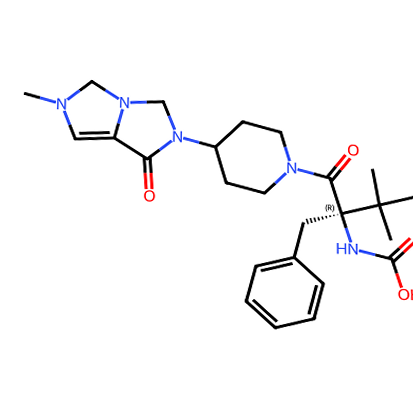 CN1C=C2C(=O)N(C3CCN(C(=O)[C@](Cc4ccccc4)(NC(=O)O)C(C)(C)C)CC3)CN2C1